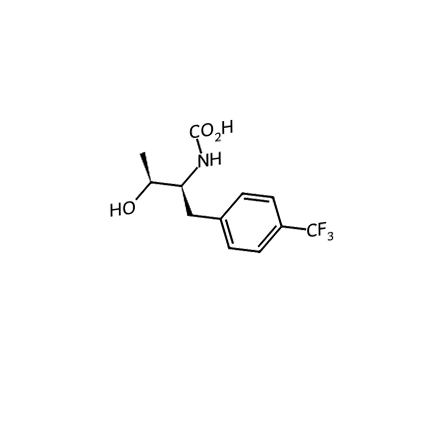 C[C@H](O)[C@H](Cc1ccc(C(F)(F)F)cc1)NC(=O)O